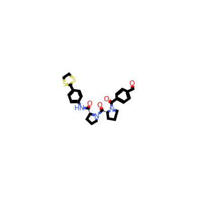 O=Cc1ccc(C(=O)N2CCC[C@@H]2C(=O)N2CCC[C@@H]2C(=O)Nc2ccc(C3SCCS3)cc2)cc1